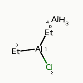 C[CH2][Al]([Cl])[CH2]C.[AlH3]